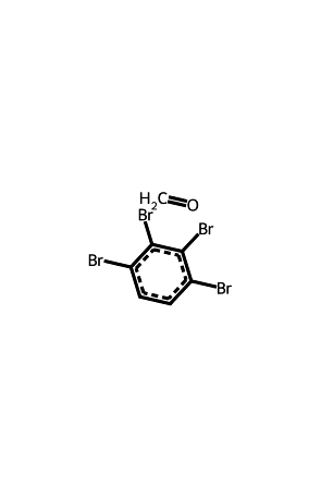 Brc1ccc(Br)c(Br)c1Br.C=O